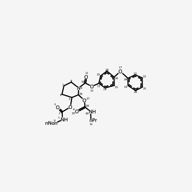 CCCCCCCCCNC(=O)OC1CCCN(C(=O)Oc2ccc(Oc3ccccc3)cc2)C1OC(=O)NCCC